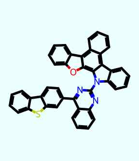 c1ccc2c(-c3ccc4c(c3)sc3ccccc34)nc(-n3c4ccccc4c4c5ccccc5c5c6ccccc6oc5c43)nc2c1